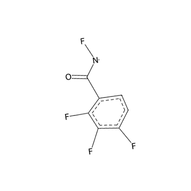 O=C([N]F)c1ccc(F)c(F)c1F